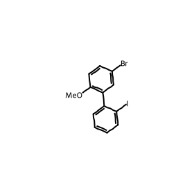 COc1ccc(Br)cc1-c1ccccc1I